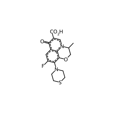 CC1COc2c(N3CCSCC3)c(F)cc3c(=O)c(C(=O)O)cn1c23